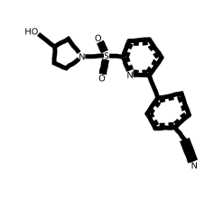 N#Cc1ccc(-c2cccc(S(=O)(=O)N3CCC(O)C3)n2)cc1